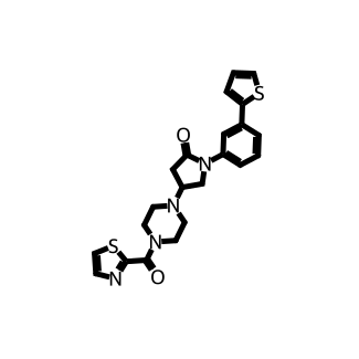 O=C(c1nccs1)N1CCN(C2CC(=O)N(c3cccc(-c4cccs4)c3)C2)CC1